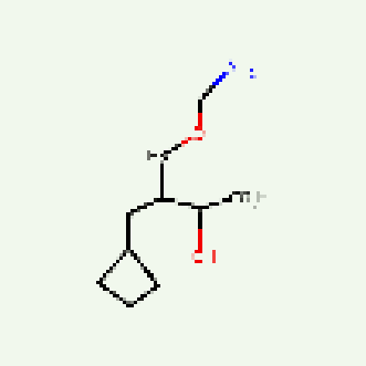 NCOBC(CC1CCC1)C(O)C(=O)O